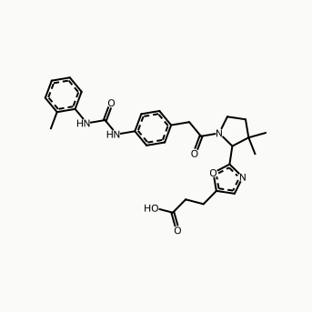 Cc1ccccc1NC(=O)Nc1ccc(CC(=O)N2CCC(C)(C)C2c2ncc(CCC(=O)O)o2)cc1